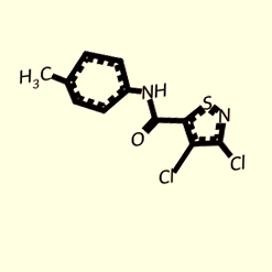 Cc1ccc(NC(=O)c2snc(Cl)c2Cl)cc1